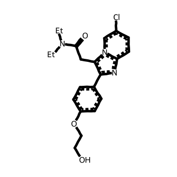 CCN(CC)C(=O)Cc1c(-c2ccc(OCCO)cc2)nc2ccc(Cl)cn12